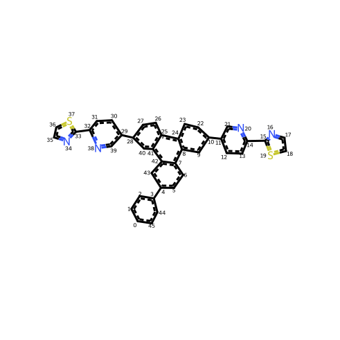 c1ccc(-c2ccc3c4cc(-c5ccc(-c6nccs6)nc5)ccc4c4ccc(-c5ccc(-c6nccs6)nc5)cc4c3c2)cc1